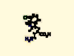 Cc1c(CC(CCN)C(=O)O)c2cccc(Cl)c2n1C